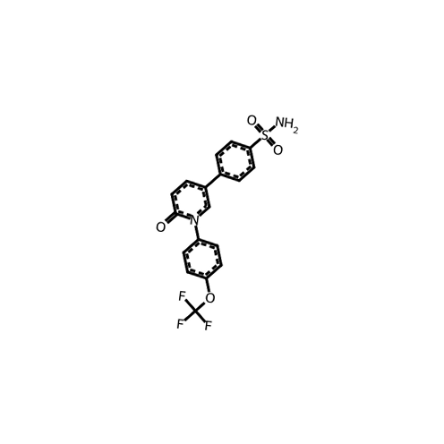 NS(=O)(=O)c1ccc(-c2ccc(=O)n(-c3ccc(OC(F)(F)F)cc3)c2)cc1